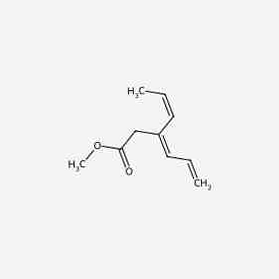 C=C/C=C(\C=C/C)CC(=O)OC